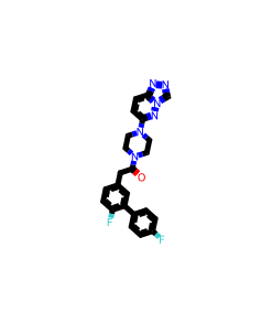 O=C(Cc1ccc(F)c(-c2ccc(F)cc2)c1)N1CCN(c2ccc3nncn3n2)CC1